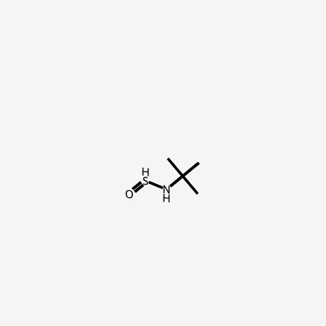 CC(C)(C)N[SH]=O